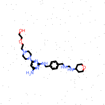 Nc1cc(N2CCN(CCOCCO)CC2)nc(NCc2ccc(CNCNC3CCOCC3)cc2)n1